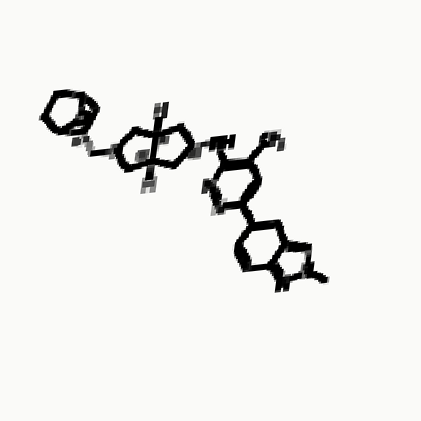 Cn1cc2cc(-c3cc(C(F)(F)F)c(N[C@@H]4C[C@@H]5CN(C[C@H]6CC7CCC6O7)C[C@@H]5C4)nn3)ccc2n1